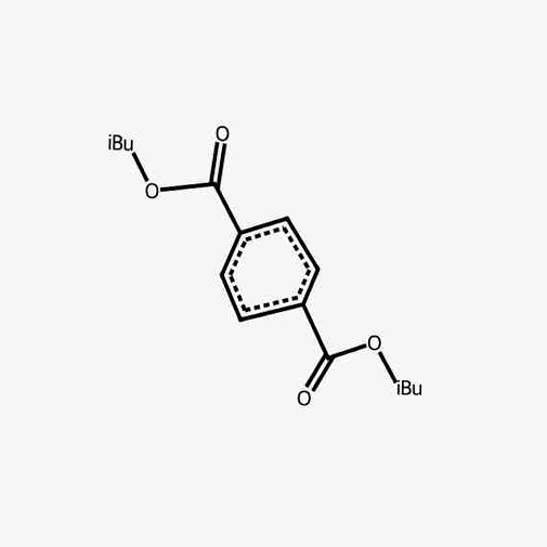 CCC(C)OC(=O)c1ccc(C(=O)OC(C)CC)cc1